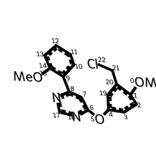 COc1ccc(Oc2cc(-c3ccccc3OC)ncn2)cc1CCl